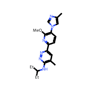 CCC(CC)Nc1nnc(-c2ccc(-n3cnc(C)c3)c(OC)n2)cc1C